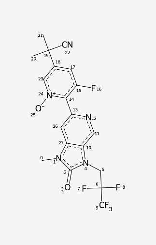 Cn1c(=O)n(CC(F)(F)C(F)(F)F)c2cnc(-c3c(F)cc(C(C)(C)C#N)c[n+]3[O-])cc21